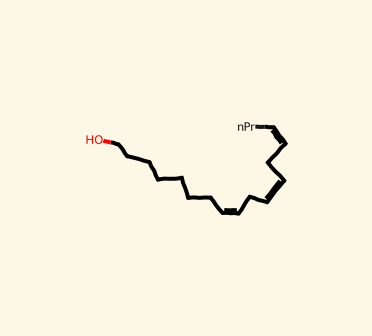 CCC/C=C\C/C=C\C/C=C\CCCCCCCO